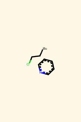 CCC(C)CCCl.c1ccncc1